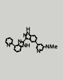 CNc1cncc(-c2ccc3[nH]nc(-c4nc5c(-c6ccccn6)cccc5[nH]4)c3c2)c1